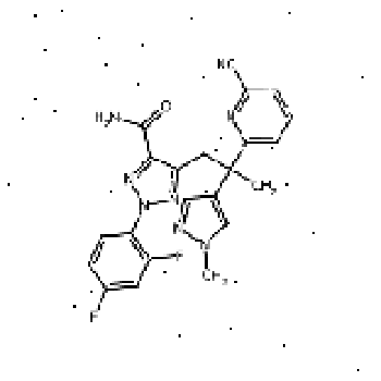 Cn1cc(C(C)(Cc2nn(-c3ccc(F)cc3F)nc2C(N)=O)c2cccc(C#N)n2)cn1